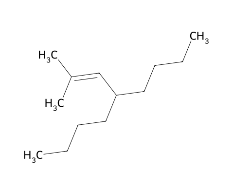 CCCCC(C=C(C)C)CCCC